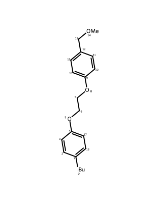 CCC(C)c1ccc(OCCOc2ccc(COC)cc2)cc1